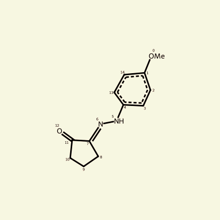 COc1ccc(NN=C2CCCC2=O)cc1